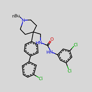 CCCCN1CCC(CNC(=O)Nc2cc(Cl)cc(Cl)c2)(c2ccc(-c3cccc(Cl)c3)cc2)CC1